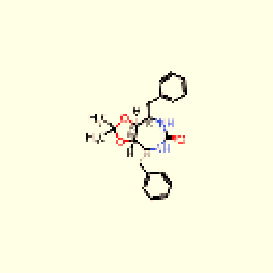 CC1(C)O[C@@H]2[C@@H](O1)[C@@H](Cc1ccccc1)NC(=O)N[C@@H]2Cc1ccccc1